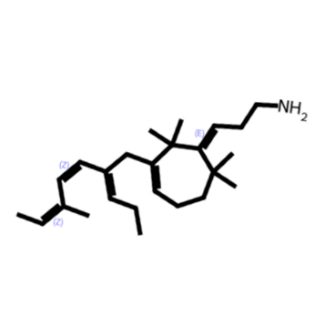 C/C=C(C)\C=C/C(=CCC)CC1=CCCC(C)(C)/C(=C\CCN)C1(C)C